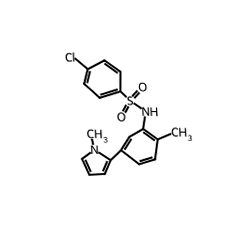 Cc1ccc(-c2cccn2C)cc1NS(=O)(=O)c1ccc(Cl)cc1